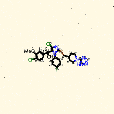 COc1cc(C(C)(C)c2c(Cl)nc(SCC3CCN(c4nnn[nH]4)CC3)n2-c2ccc(F)cc2)ccc1Cl